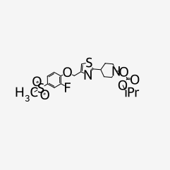 CC(C)OC(=O)ON1CCC(c2nc(COc3ccc(S(C)(=O)=O)cc3F)cs2)CC1